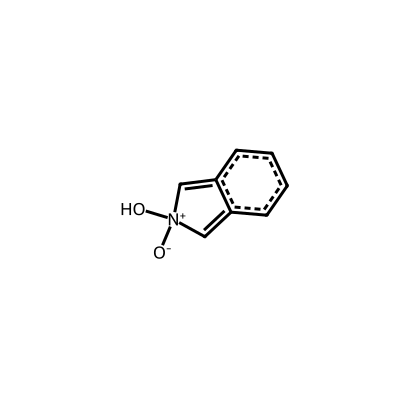 [O-][N+]1(O)C=c2ccccc2=C1